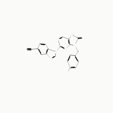 N#Cc1ccc2c(c1)ncn2-c1ncc2[nH]c(=O)n(Cc3ccc(F)cc3)c2n1